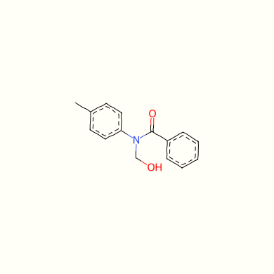 Cc1ccc(N(CO)C(=O)c2ccccc2)cc1